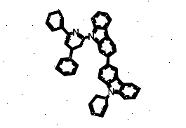 C1=CCC(n2c3ccccc3c3cc(-c4ccc5c6ccccc6n(C6=NC(C7=CCCC=C7)=CC(c7ccccc7)C6)c5c4)ccc32)C=C1